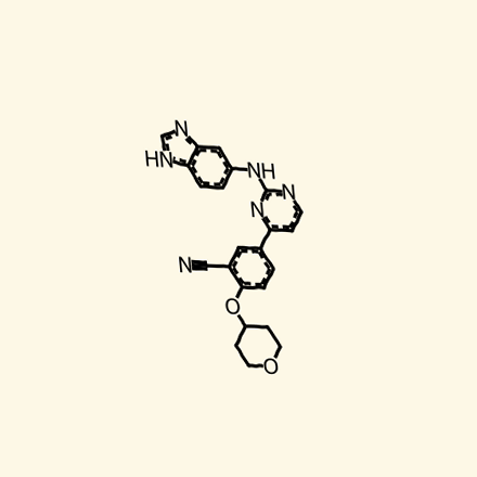 N#Cc1cc(-c2ccnc(Nc3ccc4[nH]cnc4c3)n2)ccc1OC1CCOCC1